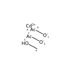 CC(=O)[O-].CC(=O)[O-].CO.[Cd+2]